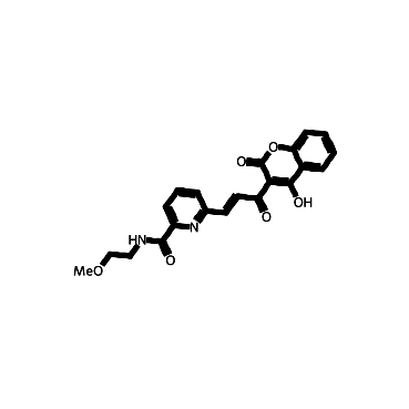 COCCNC(=O)c1cccc(/C=C/C(=O)c2c(O)c3ccccc3oc2=O)n1